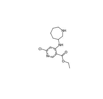 CCOC(=O)c1cnc(Cl)cc1NC1CCCCNC1